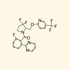 O=C(c1c(F)cccc1-c1ncccn1)N1CCC(F)(F)C1COc1ccc(C(F)(F)F)cn1